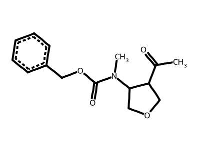 CC(=O)C1COCC1N(C)C(=O)OCc1ccccc1